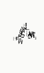 CS(=O)(=O)N[C@H]1CC[C@H](Nc2nccc(-n3ccc4c(C5(O)CCOCC5)cccc43)n2)CC1